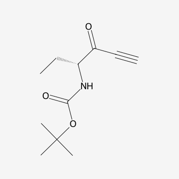 C#CC(=O)[C@@H](CC)NC(=O)OC(C)(C)C